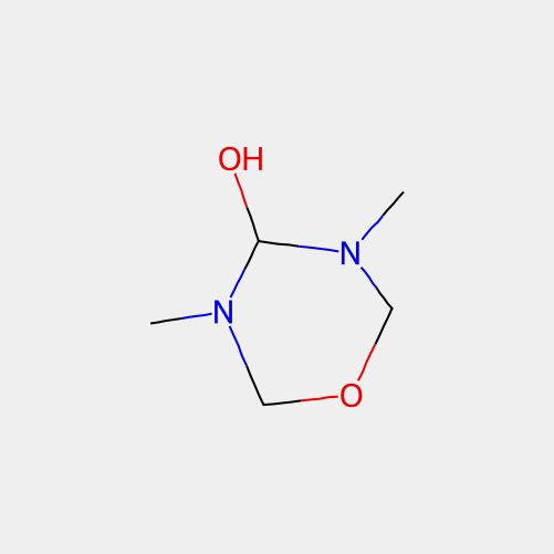 CN1COCN(C)C1O